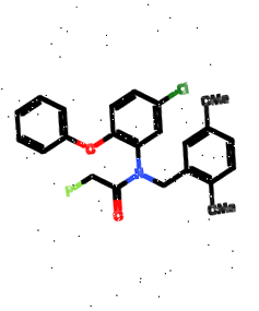 COc1ccc(OC)c(CN(C(=O)CF)c2cc(Cl)ccc2Oc2ccccc2)c1